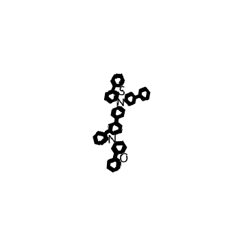 c1ccc(-c2ccc(N(c3ccc(-c4ccc5c(c4)c4ccccc4n5-c4ccc5oc6ccccc6c5c4)cc3)c3cccc4c3sc3ccccc34)cc2)cc1